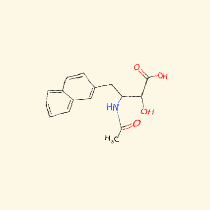 CC(=O)NC(Cc1ccc2ccccc2c1)C(O)C(=O)O